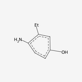 CCc1cc(O)ccc1N